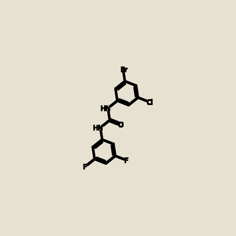 O=C(Nc1cc(F)cc(F)c1)Nc1cc(Cl)cc(Br)c1